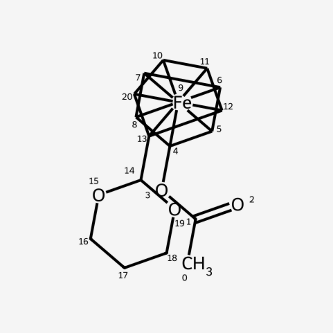 CC(=O)O[C]12[CH]3[CH]4[CH]5[CH]1[Fe]45321678[CH]2[CH]1[CH]6[C]7(C1OCCCO1)[CH]28